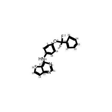 FC(F)(Oc1ccc(Nc2ncnc3ccsc23)cc1)c1ccccc1